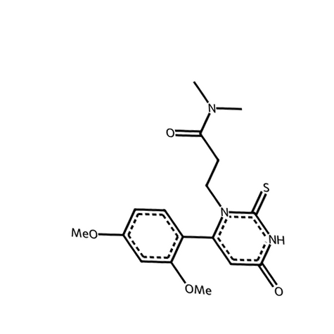 COc1ccc(-c2cc(=O)[nH]c(=S)n2CCC(=O)N(C)C)c(OC)c1